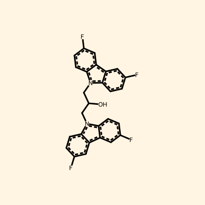 OC(Cn1c2ccc(F)cc2c2cc(F)ccc21)Cn1c2ccc(F)cc2c2cc(F)ccc21